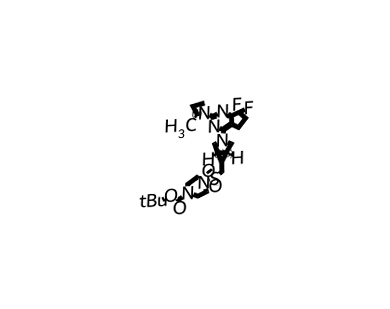 C[C@H]1CCN1c1nc(N2C[C@@H]3C(CS(=O)(=O)N4CCN(C(=O)OC(C)(C)C)CC4)[C@@H]3C2)c2c(n1)C(F)(F)CC2